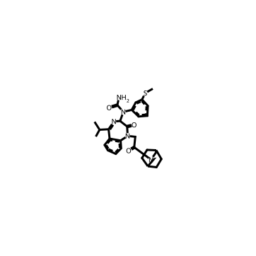 CSc1cccc(N(C(N)=O)C2N=C(C(C)C)c3ccccc3N(CC(=O)N3CC4CCC(CC4)C3)C2=O)c1